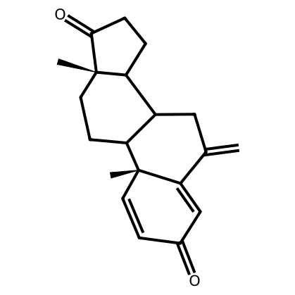 C=C1CC2C(CC[C@]3(C)C(=O)CCC23)[C@@]2(C)C=CC(=O)C=C12